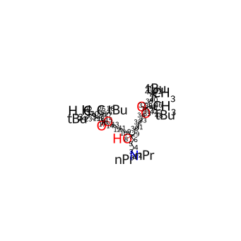 CCCN(CCC)CCCCC(O)(CCCCCCOC(=O)C(CCC(C)CC(C)(C)C)C(C)CC(C)(C)C)CCCCCCOC(=O)C(CCC(C)CC(C)(C)C)C(C)CC(C)(C)C